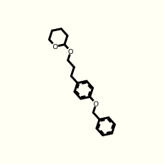 c1ccc(COc2ccc(CCCOC3CCCCO3)cc2)cc1